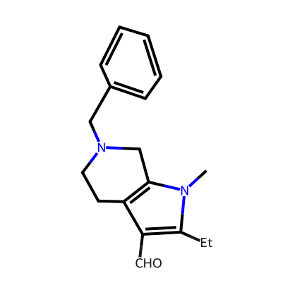 CCc1c(C=O)c2c(n1C)CN(Cc1ccccc1)CC2